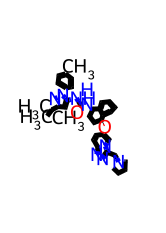 Cc1ccc(-n2nc(C(C)(C)C)cc2NC(=O)N[C@H]2CC[C@@H](Oc3ccc4nnc(CN5CCCC5)n4c3)c3ccccc32)cc1